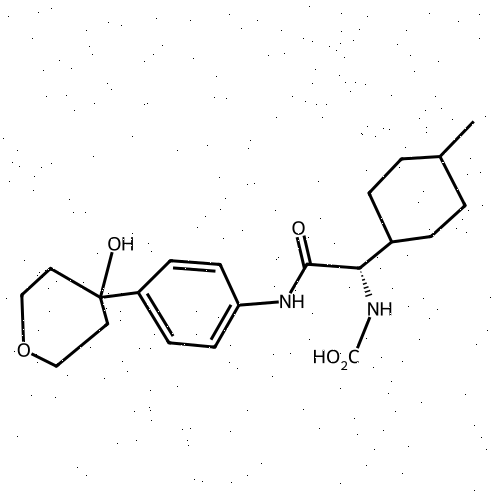 CC1CCC([C@H](NC(=O)O)C(=O)Nc2ccc(C3(O)CCOCC3)cc2)CC1